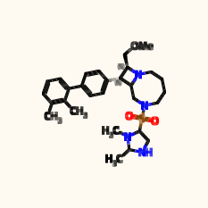 COC[C@@H]1[C@@H](c2ccc(-c3cccc(C)c3C)cc2)C2CN(S(=O)(=O)C3CNC(C)N3C)CCCCN21